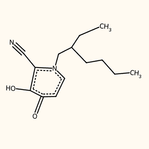 CCCCC(CC)Cn1ccc(=O)c(O)c1C#N